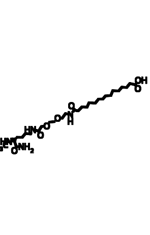 CN[C@@H](CCCCNC(=O)COCCOCCNC(=O)CCCCCCCCCCCCCCC(=O)O)C(N)=O